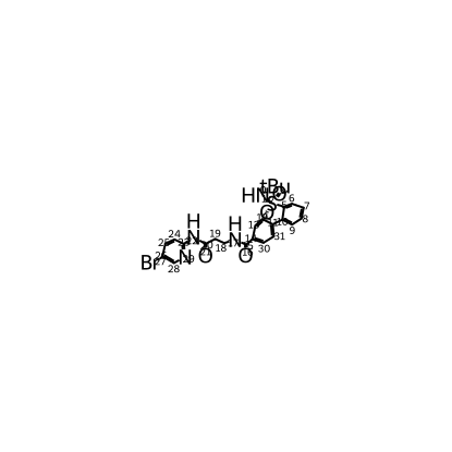 CC(C)(C)NS(=O)(=O)c1ccccc1-c1ccc(C(=O)NCCC(=O)Nc2ccc(Br)cn2)cc1